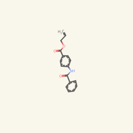 C=CCOC(=O)c1ccc(NC(=O)c2ccccc2)cc1